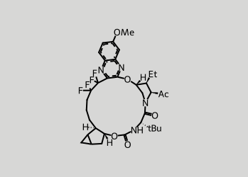 CC[C@@H]1[C@@H]2CN(C(=O)[C@H](C(C)(C)C)NC(=O)O[C@@H]3CC4CC4[C@H]3CCCC(F)(F)C(F)(F)c3nc4ccc(OC)cc4nc3O2)[C@@H]1C(C)=O